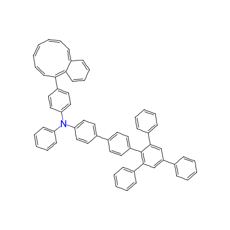 c1cccc(-c2ccc(N(c3ccccc3)c3ccc(-c4ccc(-c5c(-c6ccccc6)cc(-c6ccccc6)cc5-c5ccccc5)cc4)cc3)cc2)c2ccccc2ccc1